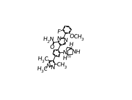 COc1cccc(F)c1-c1ncc(-c2ccc(-c3c(C)nn(C)c3C)cc2N2C[C@@H]3C[C@H]2CN3)c(C(N)=O)n1